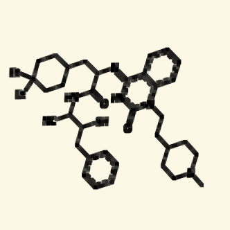 CCC1(CC)CCC(CC(/N=c2\[nH]c(=O)n(CCC3CCN(C)CC3)c3ccccc23)C(=O)NC(C#N)C(S)Cc2ccccc2)CC1